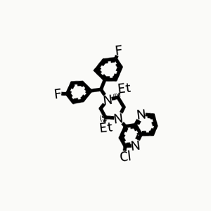 CC[C@H]1CN(C(c2ccc(F)cc2)c2ccc(F)cc2)[C@H](CC)CN1c1cc(Cl)nc2cccnc12